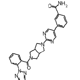 NC(=O)c1cccc(-c2cnc(N3CC4CN(C(=O)c5ccccc5-n5nccn5)CC4C3)nc2)c1